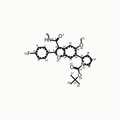 CNC(=O)c1c(-c2ccc(F)cc2)oc2cc(-c3cccn3C(=O)OC(C)(C)C)c(OC)cc12